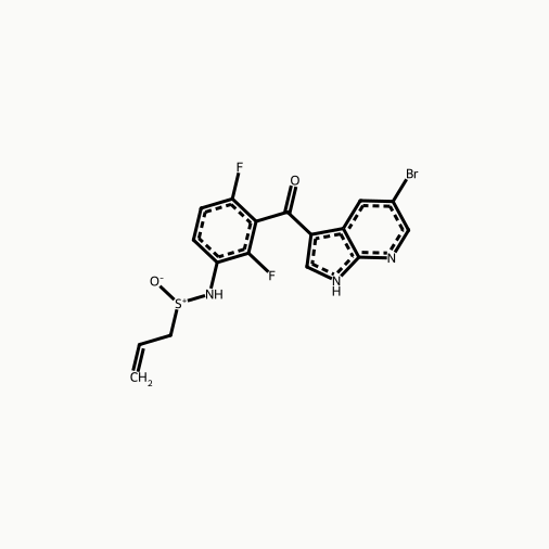 C=CC[S+]([O-])Nc1ccc(F)c(C(=O)c2c[nH]c3ncc(Br)cc23)c1F